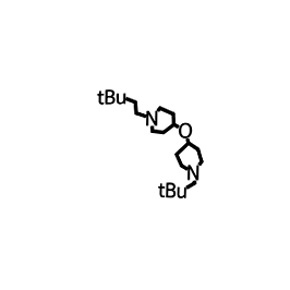 CC(C)(C)CCN1CCC(OC2CCN(CC(C)(C)C)CC2)CC1